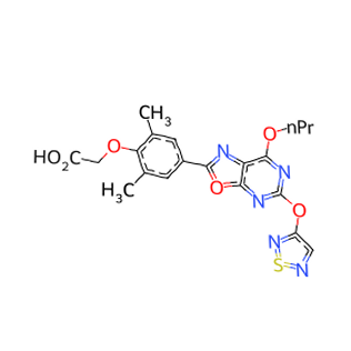 CCCOc1nc(Oc2cnsn2)nc2oc(-c3cc(C)c(OCC(=O)O)c(C)c3)nc12